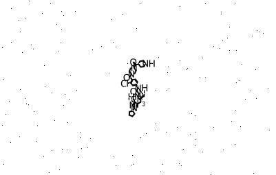 O=C(Nc1ccc(C(=O)N2CCN(C(=O)C3CCNCC3)CC2)c(Cl)c1)c1ncc(Cc2cn(C3CCCC3)nc2C(F)(F)F)[nH]1